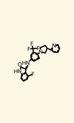 O=C1Nc2cccc(F)c2C1=CNc1ccc(N2CCC(c3ccccn3)C2)c(C(F)(F)F)c1